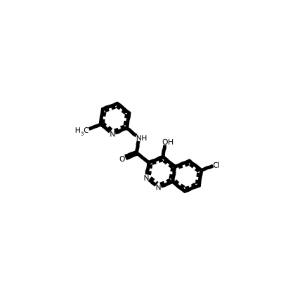 Cc1cccc(NC(=O)c2nnc3ccc(Cl)cc3c2O)n1